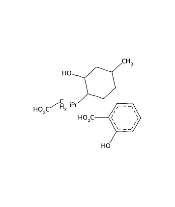 CC(=O)O.CC1CCC(C(C)C)C(O)C1.O=C(O)c1ccccc1O